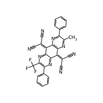 Cc1nc2c(=C(C#N)C#N)c3nc(-c4ccccc4)c(C(F)(F)F)nc3c(=C(C#N)C#N)c2nc1-c1ccccc1